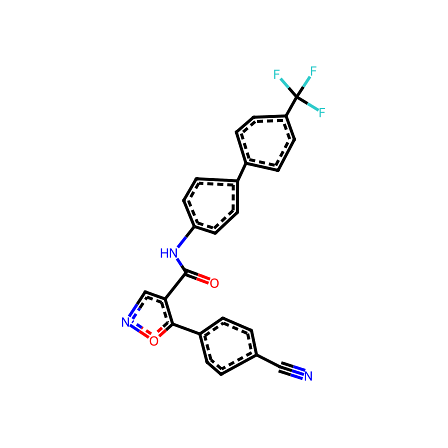 N#Cc1ccc(-c2oncc2C(=O)Nc2ccc(-c3ccc(C(F)(F)F)cc3)cc2)cc1